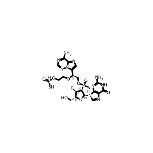 Nc1nc2c(ncn2[C@@H]2O[C@H](CO)[C@@H](F)[C@H]2P(=O)(S)OC[C@@H](OCCO[PH](=O)S)c2cnc3c(N)ncnn23)c(=O)[nH]1